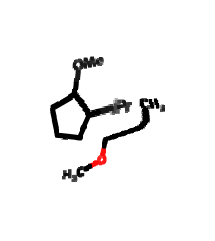 CCCOC.COC1CCCC1C(C)C